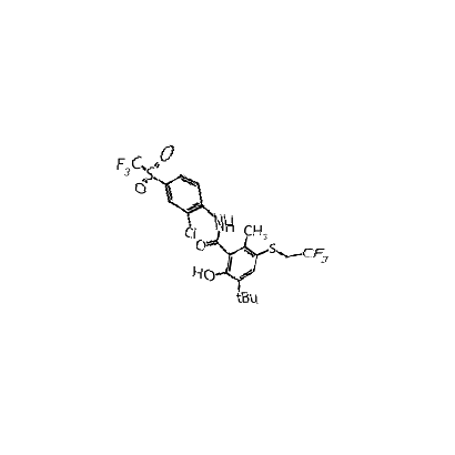 Cc1c(SCC(F)(F)F)cc(C(C)(C)C)c(O)c1C(=O)Nc1ccc(S(=O)(=O)C(F)(F)F)cc1Cl